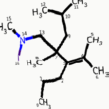 CCCC(=C(C)C)C(C)(CC(C)C)CN(C)I